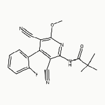 COc1nc(NC(=O)C(C)(C)C)c(C#N)c(-c2ccccc2F)c1C#N